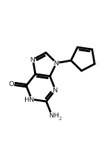 Nc1nc2c(ncn2C2C=C[CH]C2)c(=O)[nH]1